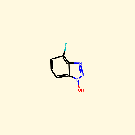 On1nnc2c(F)cccc21